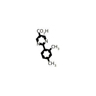 Cc1ccc(-c2ncc(C(=O)O)cn2)c(C)c1